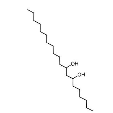 CCCCCCCCCCCC(O)CC(O)CCCCCC